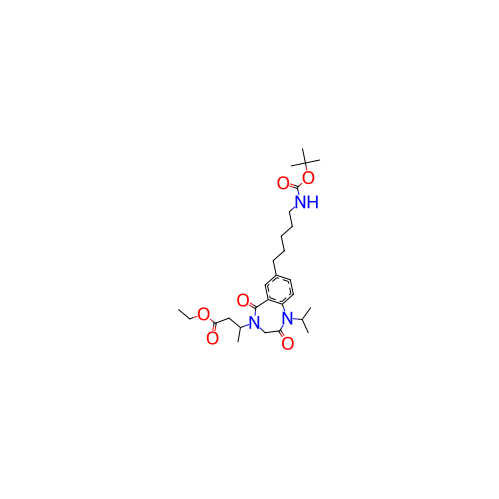 CCOC(=O)CC(C)N1CC(=O)N(C(C)C)c2ccc(CCCCCNC(=O)OC(C)(C)C)cc2C1=O